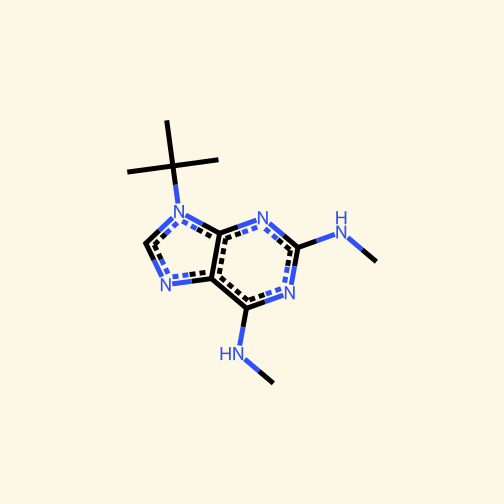 CNc1nc(NC)c2ncn(C(C)(C)C)c2n1